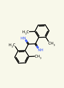 Cc1cccc(C)c1C(=N)C(=N)c1c(C)cccc1C